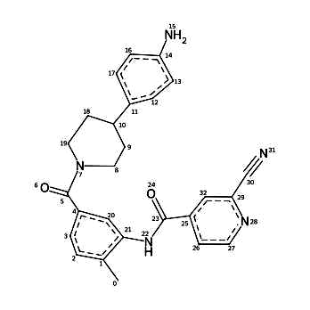 Cc1ccc(C(=O)N2CCC(c3ccc(N)cc3)CC2)cc1NC(=O)c1ccnc(C#N)c1